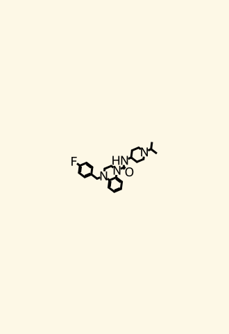 CC(C)N1CCC(NC(=O)N2CCN(Cc3ccc(F)cc3)c3ccccc32)CC1